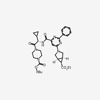 CCCCOC(=O)N1CCN(C(=O)[C@@H](NC(=O)c2cc(N3C[C@@H]4[C@H](C3)[C@@H]4C(=O)OCC)nc(-c3ccccc3)n2)C2CC2)CC1